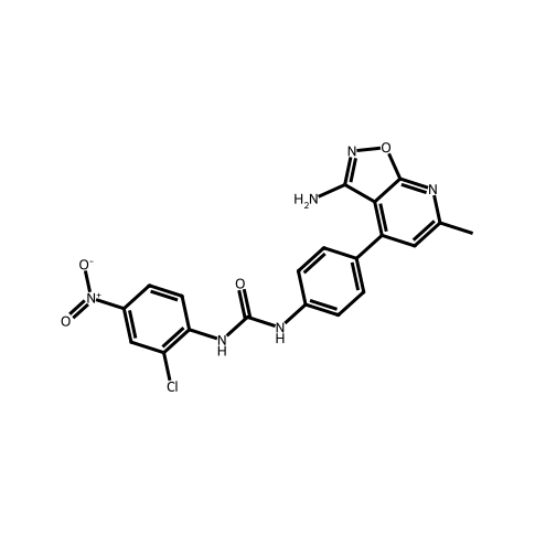 Cc1cc(-c2ccc(NC(=O)Nc3ccc([N+](=O)[O-])cc3Cl)cc2)c2c(N)noc2n1